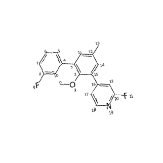 COc1c(-c2cccc(F)c2)cc(C)cc1-c1ccnc(F)c1